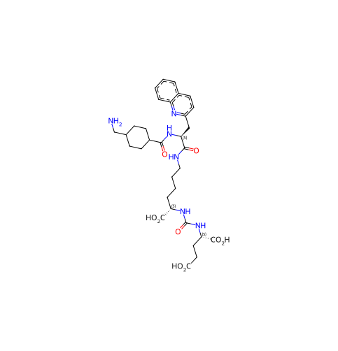 NCC1CCC(C(=O)N[C@@H](Cc2ccc3ccccc3n2)C(=O)NCCCC[C@H](NC(=O)N[C@@H](CCC(=O)O)C(=O)O)C(=O)O)CC1